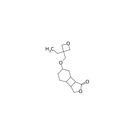 CCC1(COC2CCC3C4COC(=O)C4C3C2)COC1